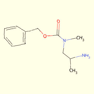 CC(N)CN(C)C(=O)OCc1ccccc1